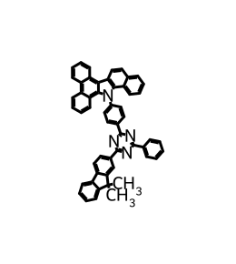 CC1(C)c2ccccc2-c2ccc(-c3nc(-c4ccccc4)nc(-c4ccc(-n5c6c7ccccc7ccc6c6c7ccccc7c7ccccc7c65)cc4)n3)cc21